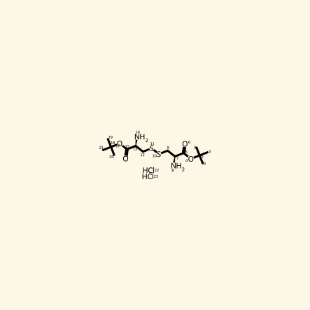 CC(C)(C)OC(=O)[C@@H](N)CSSC[C@H](N)C(=O)OC(C)(C)C.Cl.Cl